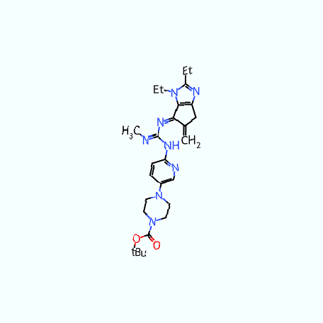 C=C1Cc2nc(CC)n(CC)c2/C1=N/C(=N\C)Nc1ccc(N2CCN(C(=O)OC(C)(C)C)CC2)cn1